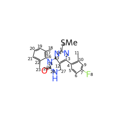 CSc1nc(-c2ccc(F)cc2C)c2c(n1)N(c1c(C)cccc1C)C(=O)NC2